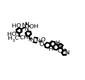 CC(C)c1cc(-c2nnc(O)n2-c2ccc(CN3CCN(C(=O)OC4CCC5(C)C(=CCC6[C@@H]5CCC5(C)C(c7cccnc7)=CC[C@@H]65)C4)CC3)cc2)c(O)cc1O